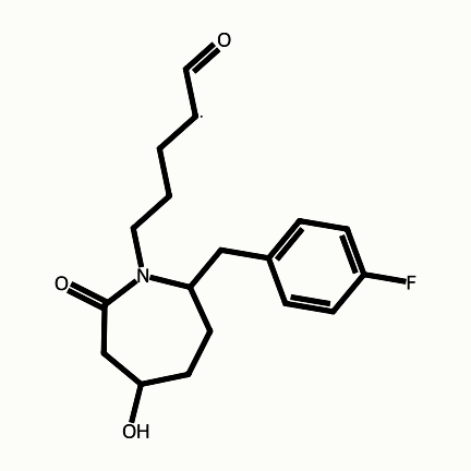 O=C[CH]CCCN1C(=O)CC(O)CCC1Cc1ccc(F)cc1